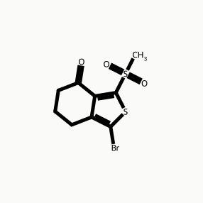 CS(=O)(=O)c1sc(Br)c2c1C(=O)CCC2